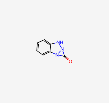 O=C1N2Nc3ccccc3N12